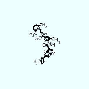 Cc1cc(C(O)NCCN2[C@H](C)CCC[C@@H]2C)sc1NC(=O)c1cnn2cc(-c3cnn(C)c3)sc12